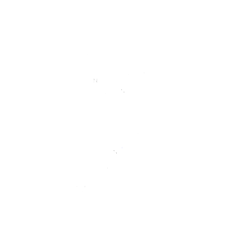 C[C@H](O/N=C/c1cc(-n2c(=O)cc(C(F)(F)F)n(C)c2=O)c(F)cc1Cl)C(=O)O